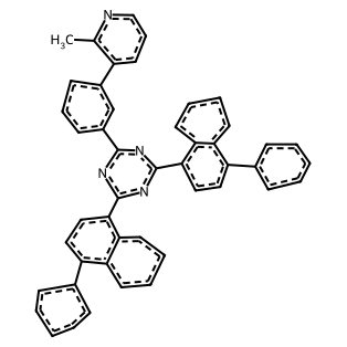 Cc1ncccc1-c1cccc(-c2nc(-c3ccc(-c4ccccc4)c4ccccc34)nc(-c3ccc(-c4ccccc4)c4ccccc34)n2)c1